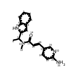 CC(c1cc2ccccc2[nH]1)N(C)C(=O)/C=C/c1ccc(N)nc1